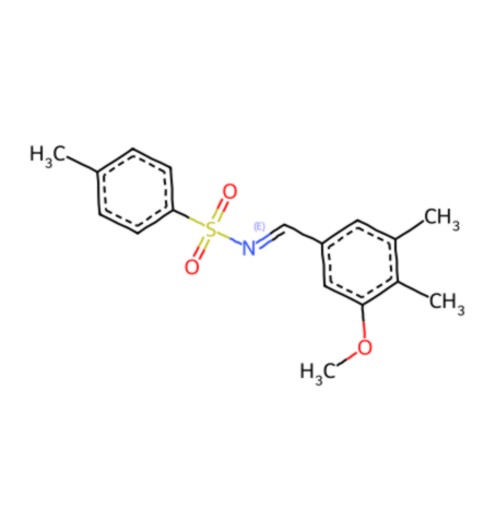 COc1cc(/C=N/S(=O)(=O)c2ccc(C)cc2)cc(C)c1C